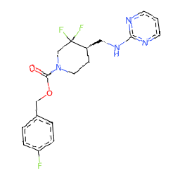 O=C(OCc1ccc(F)cc1)N1CC[C@H](CNc2ncccn2)C(F)(F)C1